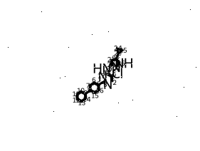 Clc1cnc(-c2ccc(-c3ccccc3)cc2)nc1Nc1cc(C2CC2)[nH]n1